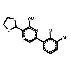 COc1nc(-c2cccc(O)c2Cl)cnc1C1OCCO1